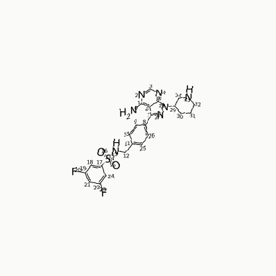 Nc1ncnc2c1c(-c1ccc(CNS(=O)(=O)c3cc(F)cc(F)c3)cc1)nn2C1CCCNC1